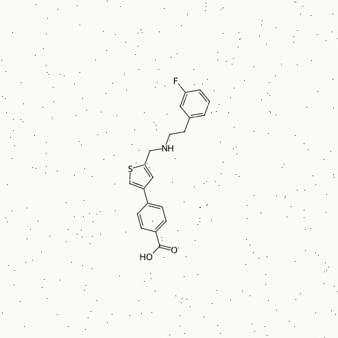 O=C(O)c1ccc(-c2csc(CNCCc3cccc(F)c3)c2)cc1